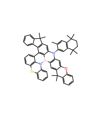 Cc1cc2c(cc1N1c3cc4c(cc3B3c5c1cc1c(c5-c5cccc6c5N3c3ccccc3S6)-c3ccccc3C1(C)C)C(C)(C)c1ccccc1O4)C(C)(C)CCC2(C)C